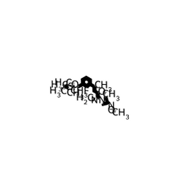 C=N/C(=C(\C=C(/C)c1cccc(CO[Si](C)(C)C(C)(C)C)c1F)OC)N1CC(=NOC)C1